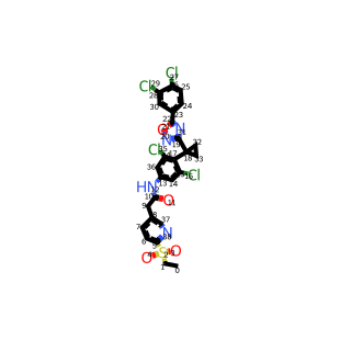 CCS(=O)(=O)c1ccc(CC(=O)Nc2cc(Cl)c(C3(c4noc(-c5ccc(Cl)c(Cl)c5)n4)CC3)c(Cl)c2)cn1